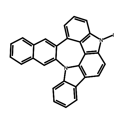 In1c2cccc3c4cc5ccccc5cc4n4c5ccccc5c5ccc1c(c32)c54